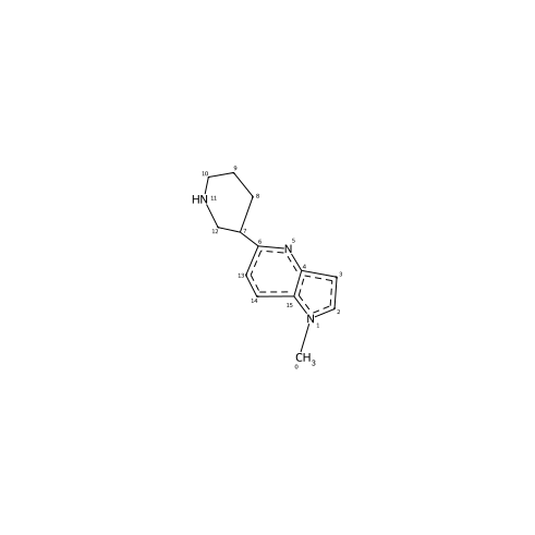 Cn1ccc2nc(C3CCCNC3)ccc21